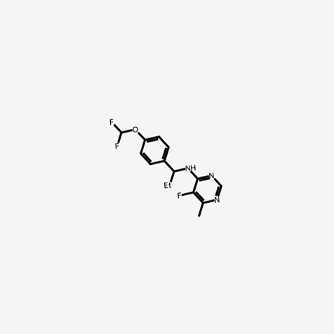 CCC(Nc1ncnc(C)c1F)c1ccc(OC(F)F)cc1